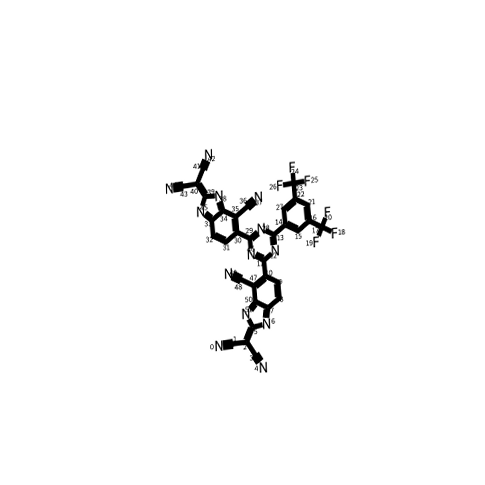 N#CC(C#N)=C1N=c2ccc(-c3nc(-c4cc(C(F)(F)F)cc(C(F)(F)F)c4)nc(-c4ccc5c(c4C#N)=NC(=C(C#N)C#N)N=5)n3)c(C#N)c2=N1